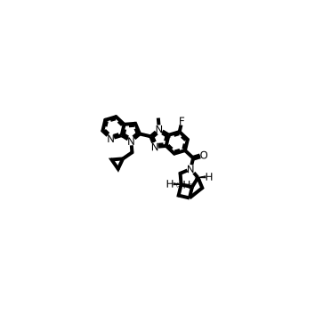 Cn1c(-c2cc3cccnc3n2CC2CC2)nc2cc(C(=O)N3C[C@H]4CC5C[C@@H]3[C@H]54)cc(F)c21